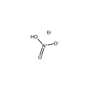 O=[N+]([O-])O.[Er]